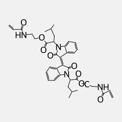 C=CC(=O)NCCOC(=O)C(CC(C)C)N1C(=O)/C(=C2/C(=O)N(C(CC(C)C)C(=O)OCCNC(=O)C=C)c3ccccc32)c2ccccc21